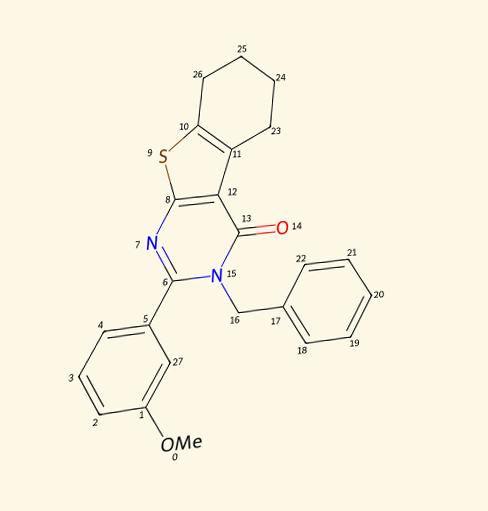 COc1cccc(-c2nc3sc4c(c3c(=O)n2Cc2ccccc2)CCCC4)c1